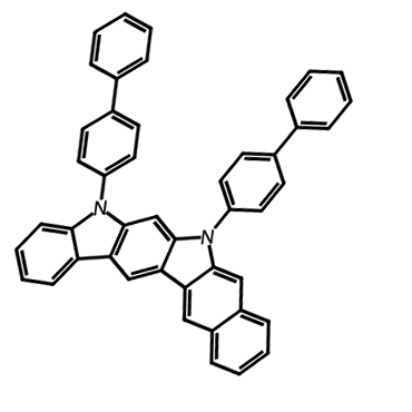 c1ccc(-c2ccc(-n3c4ccccc4c4cc5c6cc7ccccc7cc6n(-c6ccc(-c7ccccc7)cc6)c5cc43)cc2)cc1